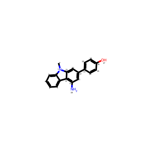 Cn1c2ccccc2c2c(N)cc(-c3ccc(O)cc3)cc21